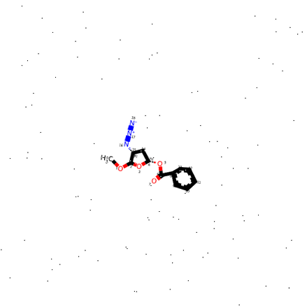 COC1O[C@@H](OC(=O)c2ccccc2)C[C@H]1N=[N+]=[N-]